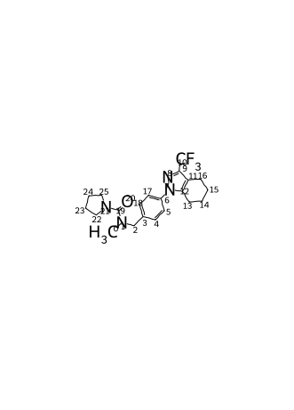 CN(Cc1ccc(-n2nc(C(F)(F)F)c3c2CCCC3)cc1)C(=O)N1CCCC1